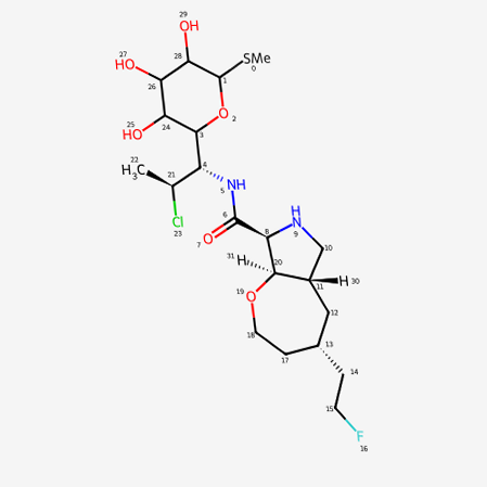 CSC1OC([C@H](NC(=O)[C@H]2NC[C@@H]3C[C@H](CCF)CCO[C@H]32)[C@H](C)Cl)C(O)C(O)C1O